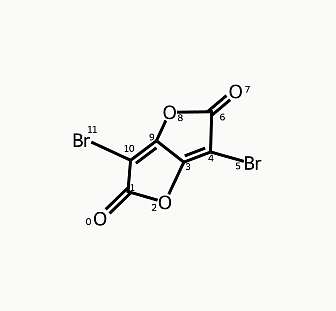 O=C1OC2=C(Br)C(=O)OC2=C1Br